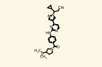 CN(C)C1CCN(C(=O)c2ccc(Nc3nccc(-c4cnn(C(CC#N)C5CC5)c4)n3)cc2)C1